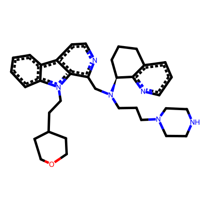 c1cnc2c(c1)CCC[C@@H]2N(CCCN1CCNCC1)Cc1nccc2c3ccccc3n(CCC3CCOCC3)c12